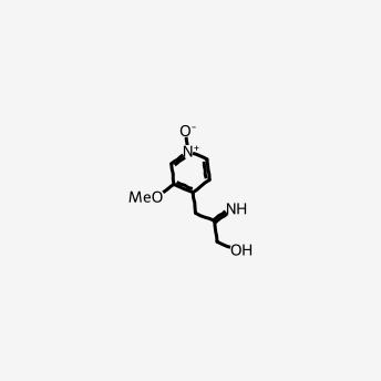 COc1c[n+]([O-])ccc1CC(=N)CO